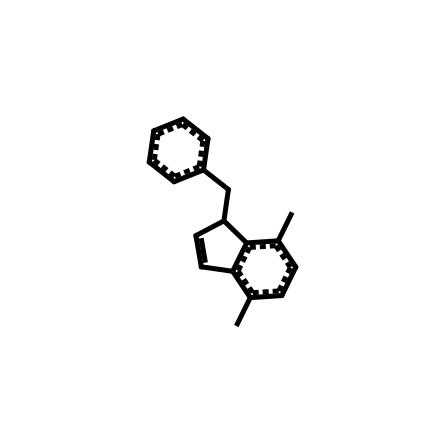 Cc1ccc(C)c2c1C=CC2Cc1ccccc1